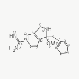 COC1(Cc2ccccc2)NCc2cc(C(=N)N)ccc21